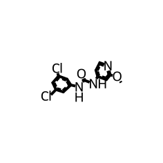 COc1cc(NC(=O)Nc2cc(Cl)cc(Cl)c2)ccn1